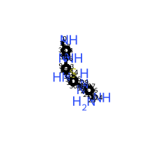 N=Cc1ccc2[nH]c(-c3ccc4c(c3)Sc3cc(-c5nc6cc(C(=N)N)ccc6[nH]5)ccc3N4)nc2c1